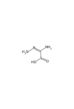 NC(=N[SiH3])S(=O)O